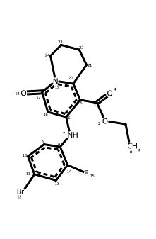 CCOC(=O)c1c(Nc2ccc(Br)cc2F)cc(=O)n2c1CCCC2